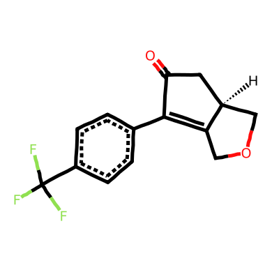 O=C1C[C@H]2COCC2=C1c1ccc(C(F)(F)F)cc1